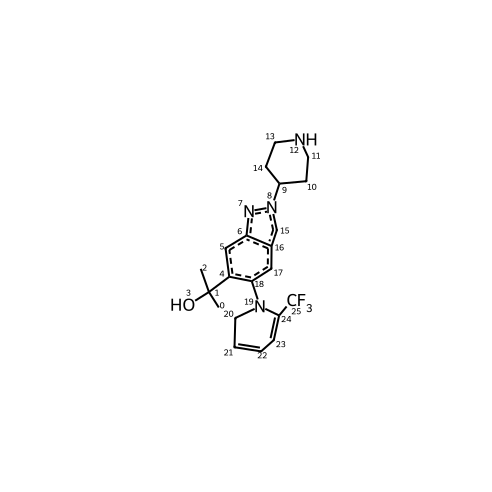 CC(C)(O)c1cc2nn(C3CCNCC3)cc2cc1N1CC=CC=C1C(F)(F)F